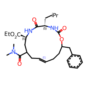 CCOC(=O)[C@@H]1CC(C(=O)N(C)C)C/C=C/CCC(Cc2ccccc2)OC(=O)N[C@@H](CC(C)C)C(=O)N1